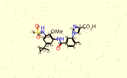 COc1c(NC(=O)c2ccc(C)c(-n3cnc(C(=O)O)c3)c2)cc(C2(C)CC2)cc1NS(C)(=O)=O